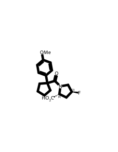 COc1ccc(C2(C(=O)N3C[C@@H](F)C[C@@H]3C(=O)O)CCCC2)cc1